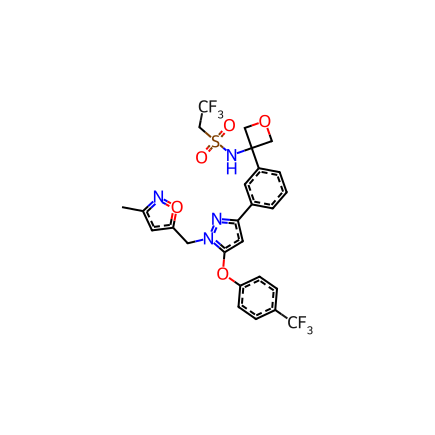 Cc1cc(Cn2nc(-c3cccc(C4(NS(=O)(=O)CC(F)(F)F)COC4)c3)cc2Oc2ccc(C(F)(F)F)cc2)on1